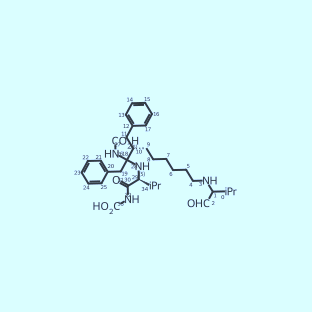 CC(C)C(C=O)NCCCCCC[C@@H](Cc1ccccc1)C(Cc1ccccc1)(NC(=O)O)N[C@H](C(=O)NC(=O)O)C(C)C